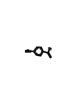 C=C(Br)c1ccc(CCCC)cc1